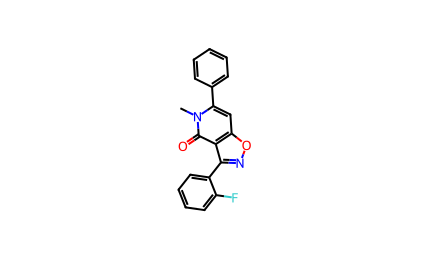 Cn1c(-c2ccccc2)cc2onc(-c3ccccc3F)c2c1=O